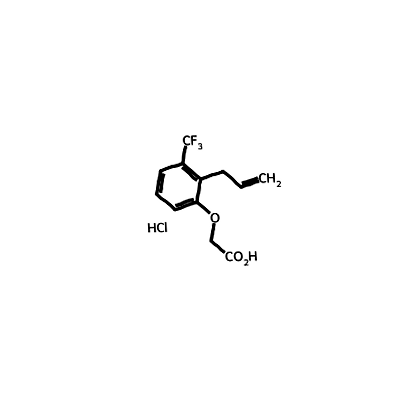 C=CCc1c(OCC(=O)O)cccc1C(F)(F)F.Cl